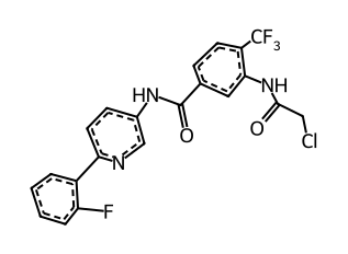 O=C(CCl)Nc1cc(C(=O)Nc2ccc(-c3ccccc3F)nc2)ccc1C(F)(F)F